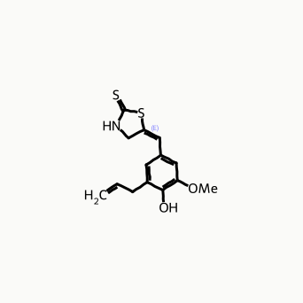 C=CCc1cc(/C=C2\CNC(=S)S2)cc(OC)c1O